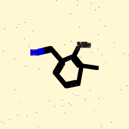 CNc1c(C)cccc1C=N